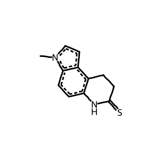 Cn1ccc2c3c(ccc21)NC(=S)CC3